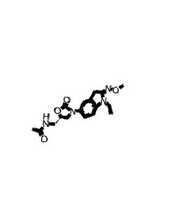 CCN1C(=NOC)Cc2cc(N3C[C@H](CNC(C)=O)OC3=O)ccc21